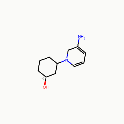 NC1=CC=CN(C2CCC[C@H](O)C2)C1